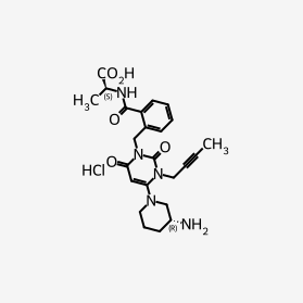 CC#CCn1c(N2CCC[C@@H](N)C2)cc(=O)n(Cc2ccccc2C(=O)N[C@@H](C)C(=O)O)c1=O.Cl